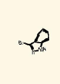 Brc1n[nH]c2cc[c]cc12